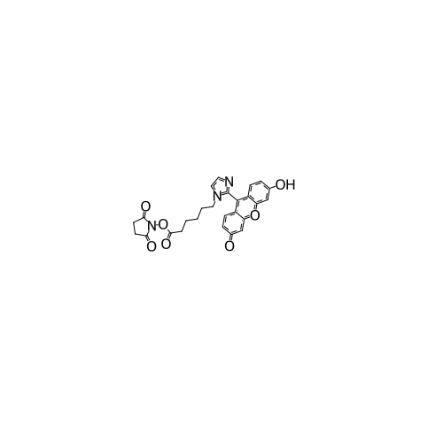 O=C(CCCCCn1ccnc1-c1c2ccc(=O)cc-2oc2cc(O)ccc12)ON1C(=O)CCC1=O